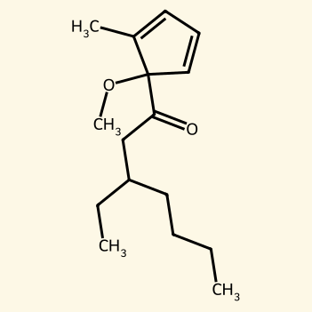 CCCCC(CC)CC(=O)C1(OC)C=CC=C1C